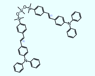 C[Si](C)(O[Si](C)(C)c1ccc(/C=C/c2ccc(N(c3ccccc3)c3ccccc3)cc2)cc1)O[Si](C)(C)c1ccc(/C=C/c2ccc(N(c3ccccc3)c3ccccc3)cc2)cc1